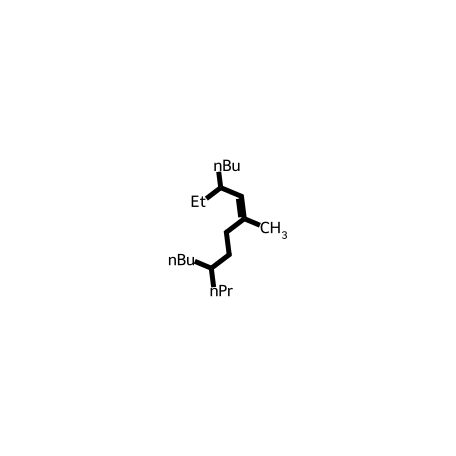 CCCCC(C=C(C)CCC(CCC)CCCC)CC